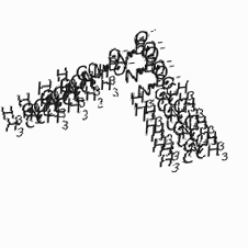 C[N+](C)(C)C.C[N+](C)(C)C.C[N+](C)(C)C.C[N+](C)(C)C.C[N+](C)(C)C.C[N+](C)(C)C.C[N+](C)(C)C.C[N+](C)(C)C.N#CB([O-])[O-].N#CB([O-])[O-].N#CB([O-])[O-].N#CB([O-])[O-]